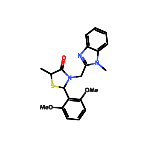 COc1cccc(OC)c1C1SC(C)C(=O)N1Cc1nc2ccccc2n1C